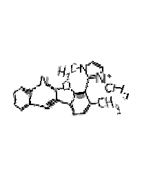 Cc1ccc2c(oc3nc4ccccc4cc32)c1-c1n(C)cc[n+]1C